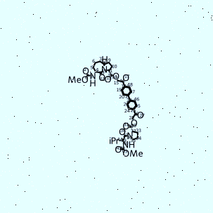 COC(=O)N[C@H]1CCC[C@@H]2CC[C@@H](C(=O)OCC(=O)c3ccc(-c4ccc(C(=O)COC(=O)[C@@H]5CCCN5C(=O)[C@@H](NC(=O)OC)C(C)C)cc4)cc3)N2C1=O